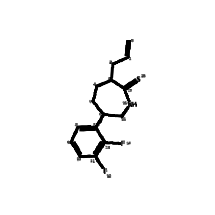 C=CCC1CCC(c2cccc(F)c2F)CNC1=S